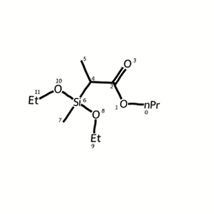 CCCOC(=O)C(C)[Si](C)(OCC)OCC